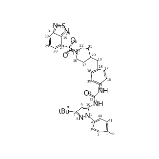 Cc1ccc(-n2nc(C(C)(C)C)cc2NC(=O)Nc2ccc(CC3CCN(S(=O)(=O)c4cccc5nsnc45)CC3)cc2)cc1